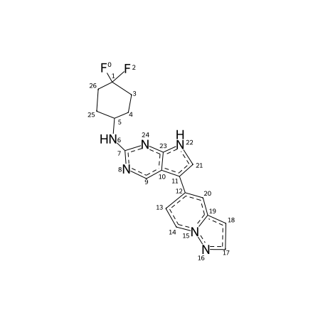 FC1(F)CCC(Nc2ncc3c(-c4ccn5nccc5c4)c[nH]c3n2)CC1